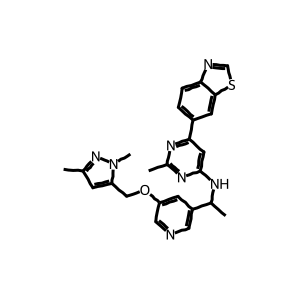 Cc1cc(COc2cncc(C(C)Nc3cc(-c4ccc5ncsc5c4)nc(C)n3)c2)n(C)n1